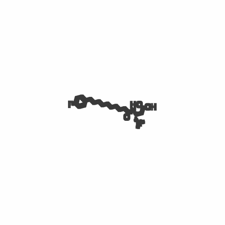 CN(C)C[C@@H](CC(=O)O)NC(=O)CCCCCCCCCc1ccc(F)cc1